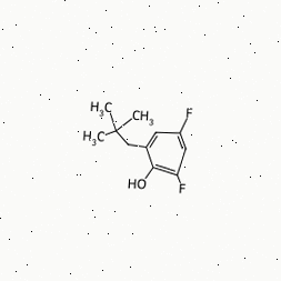 CC(C)(C)Cc1cc(F)cc(F)c1O